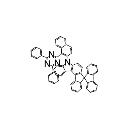 c1ccc(-c2nc(-c3ccccc3)nc(-c3c(-n4c5ccccc5c5c6c(ccc54)C4(c5ccccc5-c5ccccc54)c4ccccc4-6)ccc4ccccc34)n2)cc1